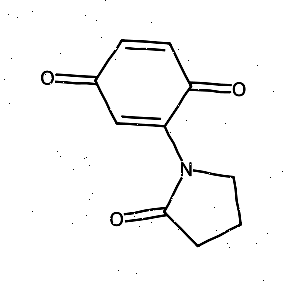 O=C1C=CC(=O)C(N2CCCC2=O)=C1